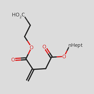 C=C(CC(=O)OCCCCCCC)C(=O)OCCC(=O)O